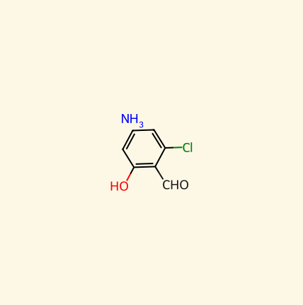 N.O=Cc1c(O)cccc1Cl